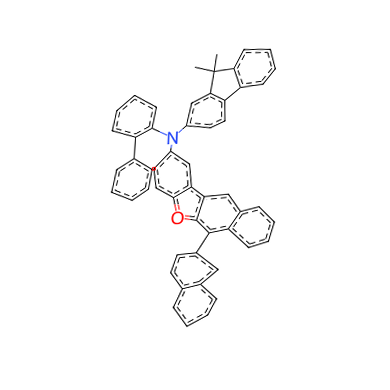 CC1(C)c2ccccc2-c2ccc(N(c3ccc4oc5c(-c6ccc7ccccc7c6)c6ccccc6cc5c4c3)c3ccccc3-c3ccccc3)cc21